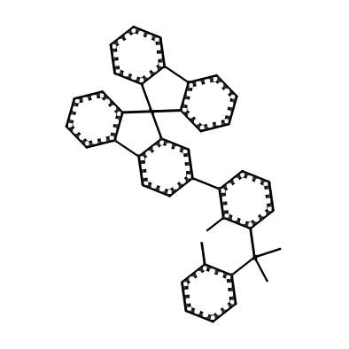 CC1(C)c2ccccc2Oc2c(-c3ccc4c(c3)C3(c5ccccc5-c5ccccc53)c3ccccc3-4)cccc21